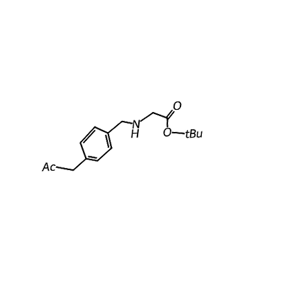 CC(=O)Cc1ccc(CNCC(=O)OC(C)(C)C)cc1